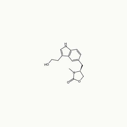 CN1C(=O)OC[C@@H]1Cc1ccc2[nH]cc(CCO)c2c1